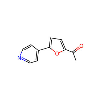 CC(=O)c1ccc(-c2ccncc2)o1